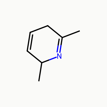 CC1=NC(C)C=CC1